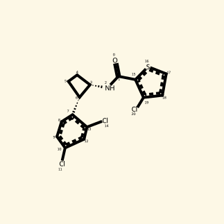 O=C(N[C@H]1CC[C@H]1c1ccc(Cl)cc1Cl)c1sccc1Cl